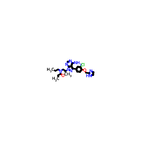 C=CC(=O)N(CCC)C[C@@H](C)n1nc(-c2ccc(OCc3ncc[nH]3)c(Cl)c2)c2c(N)ncnc21